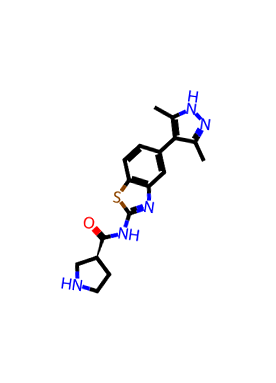 Cc1n[nH]c(C)c1-c1ccc2sc(NC(=O)[C@H]3CCNC3)nc2c1